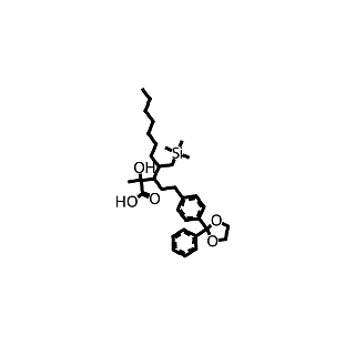 CCCCCCCC(C[Si](C)(C)C)C(CCc1ccc(C2(c3ccccc3)OCCO2)cc1)C(C)(O)C(=O)O